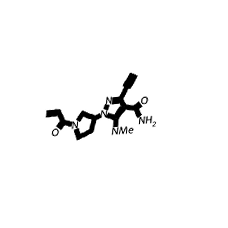 C#Cc1nn(C2CCN(C(=O)C=C)C2)c(NC)c1C(N)=O